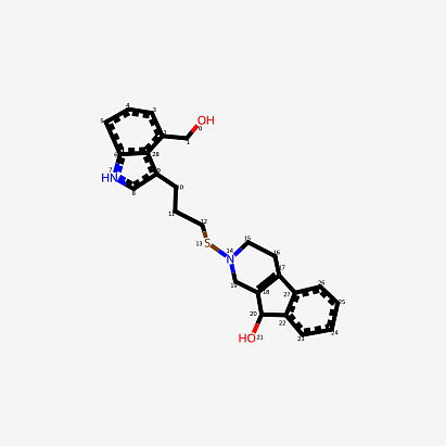 OCc1cccc2[nH]cc(CCCSN3CCC4=C(C3)C(O)c3ccccc34)c12